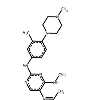 C/C=N\c1cnc(Nc2ccc(N3CCN(C)CC3)c(C)c2)nc1NC=O